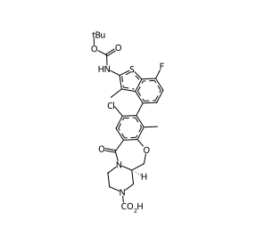 Cc1c2c(cc(Cl)c1-c1ccc(F)c3sc(NC(=O)OC(C)(C)C)c(C)c13)C(=O)N1CCN(C(=O)O)C[C@@H]1CO2